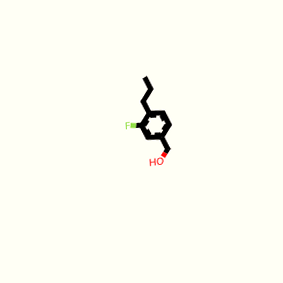 CCCc1ccc([CH]O)cc1F